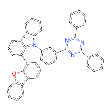 c1ccc(-c2nc(-c3ccccc3)nc(-c3cccc(-n4c5ccccc5c5cccc(-c6cccc7c6oc6ccccc67)c54)c3)n2)cc1